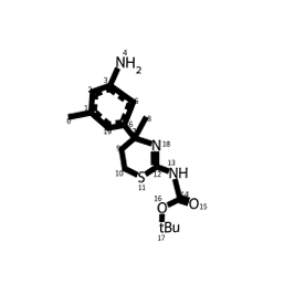 Cc1cc(N)cc(C2(C)CCSC(NC(=O)OC(C)(C)C)=N2)c1